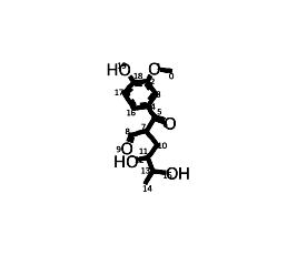 COc1cc(C(=O)C([C]=O)CC(O)C(C)O)ccc1O